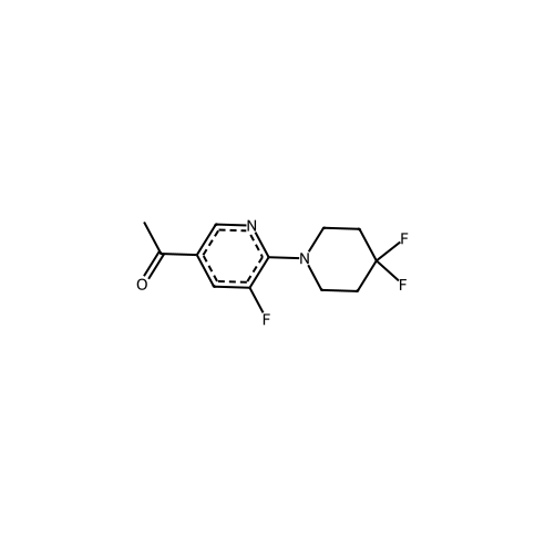 CC(=O)c1cnc(N2CCC(F)(F)CC2)c(F)c1